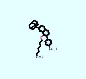 COCCCCCCOc1c(-c2ccc(C(=O)O)cc2)ccc2ccc(C34CC5CC(CC(C5)C3)C4)cc12